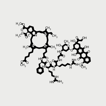 C=CC1=C(C)/C2=C/C3=NC(Cc4[nH]c(c(CCCCC(=O)OC)c4C)CC4N=C(CC1N2)C(C)=C4CCC(=O)N[C@H](Cc1ccccc1)C(=O)N[C@@H](CCCNC(=N)N)C(=O)N[C@H](CCCCNC(=N)N)C(=O)NCC(=O)NC1C[C@@H](OC2C[C@](O)(C(=O)CO)Cc4c(O)c5c(c(O)c42)C(=O)c2c(OC)cccc2C5=O)O[C@@H](C)[C@H]1O)[C@@]1(C)C3=CC=C(C(=O)OC)[C@@H]1C(=O)OC